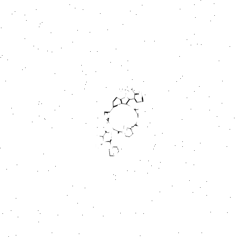 CCn1c(-c2cccnc2[C@H](C)OC)c2c3cc(ccc31)-c1csc(n1)C[C@H](NC(=O)C(C(C)C)N(C)C(=O)N1CCOC[C@@H]1C)C(=O)N1CCC[C@H](N1)C(=O)OCC(C)(C)C2